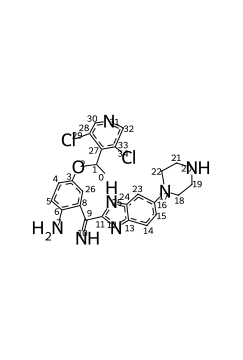 CC(Oc1ccc(N)c(C(=N)c2nc3ccc(N4CCNCC4)cc3[nH]2)c1)c1c(Cl)cncc1Cl